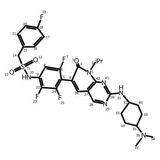 CC(C)n1c(=O)c(-c2c(F)cc(NS(=O)(=O)Cc3ccc(F)cc3)c(F)c2F)cc2cnc(NC3CCC(N(C)C)CC3)nc21